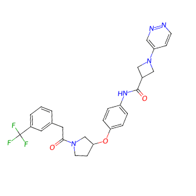 O=C(Nc1ccc(OC2CCN(C(=O)Cc3cccc(C(F)(F)F)c3)C2)cc1)C1CN(c2ccnnc2)C1